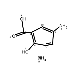 Nc1ccc(O)c(C(=O)O)c1.[BiH3]